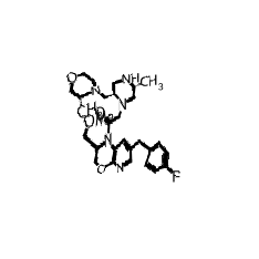 COCC1COc2ncc(Cc3ccc(F)cc3)cc2N1C(=O)CN1C[C@@H](C)NC[C@@H]1CN1CCOC[C@H]1C